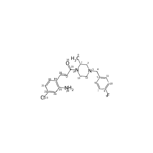 CC1CN(Cc2ccc(F)cc2)CCN1C(=O)/C=C/c1ccc(Cl)cc1N